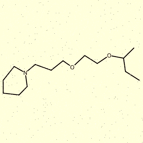 CCC(C)OCCOCCCN1CCCCC1